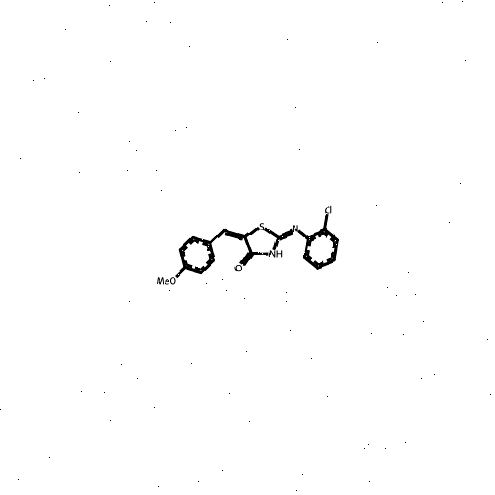 COc1ccc(C=C2SC(=Nc3ccccc3Cl)NC2=O)cc1